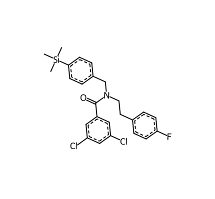 C[Si](C)(C)c1ccc(CN(CCc2ccc(F)cc2)C(=O)c2cc(Cl)cc(Cl)c2)cc1